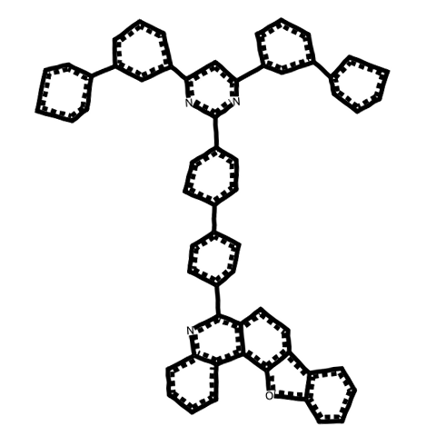 c1ccc(-c2cccc(-c3cc(-c4cccc(-c5ccccc5)c4)nc(-c4ccc(-c5ccc(-c6nc7ccccc7c7c6ccc6c8ccccc8oc67)cc5)cc4)n3)c2)cc1